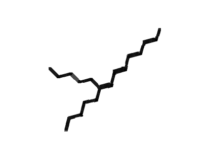 C/C=C/C=C/C=C/C=C(CCCCC)CCCCC